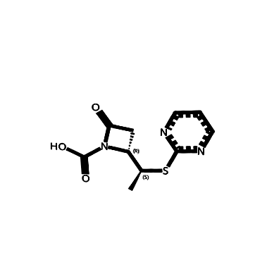 C[C@H](Sc1ncccn1)[C@H]1CC(=O)N1C(=O)O